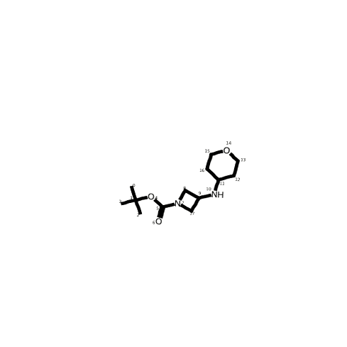 CC(C)(C)OC(=O)N1CC(NC2CCOCC2)C1